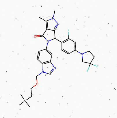 Cc1c2c(nn1C)C(c1ccc(N3CCC(F)(F)C3)cc1F)N(c1ccc3c(c1)ncn3COCC[Si](C)(C)C)C2=O